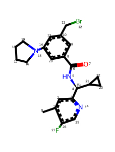 Cc1cc([C@@H](NC(=O)c2cc(CBr)cc(N3CCCC3)c2)C2CC2)ncc1F